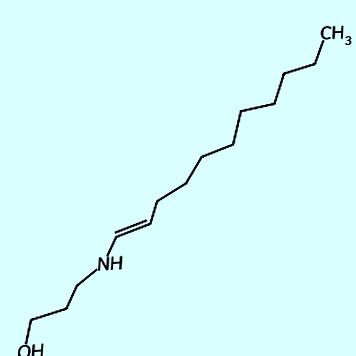 CCCCCCCCCC=CNCCCO